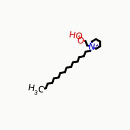 CCCCCCCCCCCCCCCC[N+]1(CCOO)CCCCC1